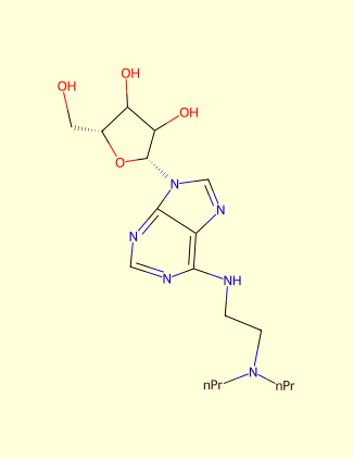 CCCN(CCC)CCNc1ncnc2c1ncn2[C@@H]1O[C@H](CO)C(O)C1O